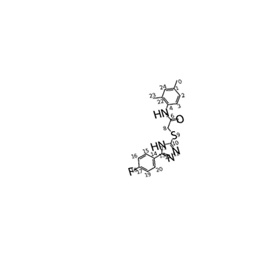 Cc1ccc(NC(=O)CSc2nnc(-c3ccc(F)cc3)[nH]2)c(C)c1